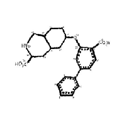 O=C(O)c1ccc(-c2ccccc2)cc1OC1CCC2CNC(C(=O)O)CC2C1